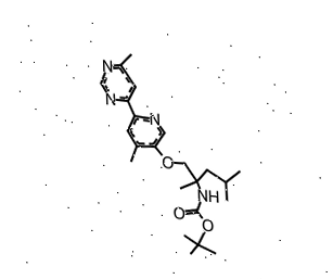 Cc1cc(-c2cc(C)c(OCC(C)(CC(C)C)NC(=O)OC(C)(C)C)cn2)ncn1